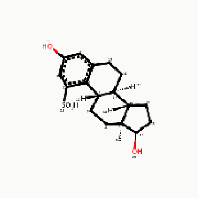 C[C@]12CC[C@@H]3c4c(cc(O)cc4S(=O)(=O)O)CC[C@H]3[C@@H]1CC[C@H]2O